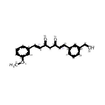 COc1cccc(/C=C/C(=O)CC(=O)/C=C/c2cccc(CO)c2)c1